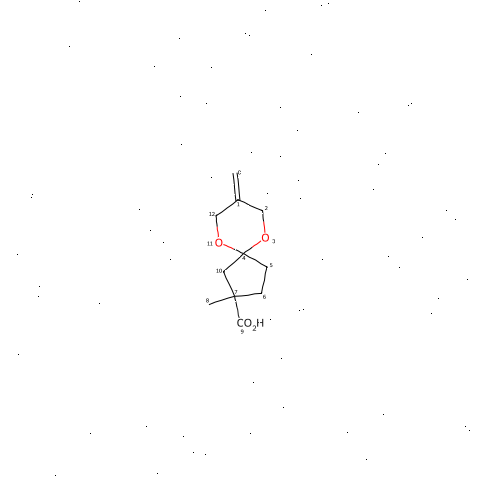 C=C1COC2(CCC(C)(C(=O)O)C2)OC1